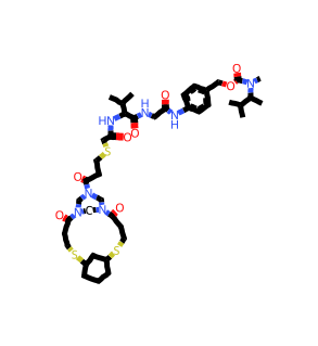 CC(C)C(NC(=O)CSCCC(=O)N1CN2CN(C1)C(=O)CCSC1CCCC(C1)SCCC2=O)C(=O)NCC(=O)Nc1ccc(COC(=O)N(C)C(C)C(C)C)cc1